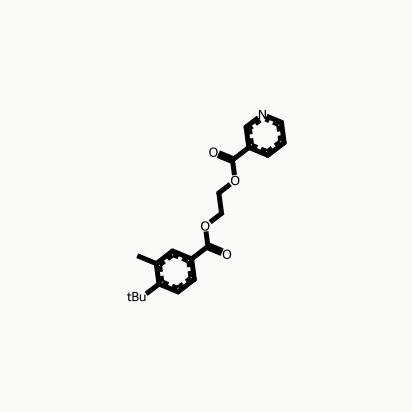 Cc1cc(C(=O)OCCOC(=O)c2cccnc2)ccc1C(C)(C)C